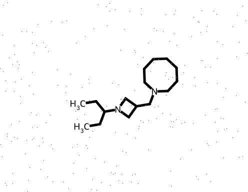 CCC(CC)N1CC(CN2CCCCCCC2)C1